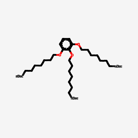 CCCCCCCCCCCCCCCCCOc1c[c]cc(OCCCCCCCCCCCCCCCCC)c1OCCCCCCCCCCCCCCCCC